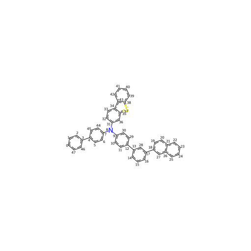 c1ccc(-c2ccc(N(c3ccc(-c4cccc(-c5ccc6ccccc6c5)c4)cc3)c3ccc4c(c3)sc3ccccc34)cc2)cc1